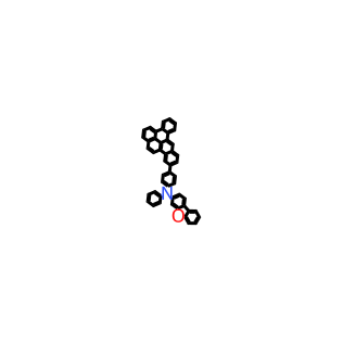 c1ccc(N(c2ccc(-c3ccc4cc5c6ccccc6c6cccc7ccc(c4c3)c5c76)cc2)c2ccc3c(c2)oc2ccccc23)cc1